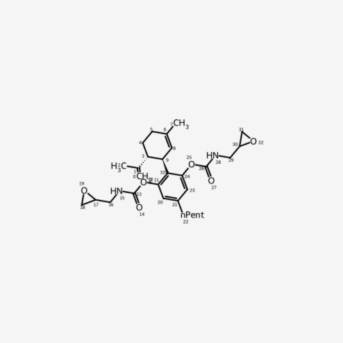 C=C(C)[C@@H]1CCC(C)=C[C@H]1c1c(OC(=O)NCC2CO2)cc(CCCCC)cc1OC(=O)NCC1CO1